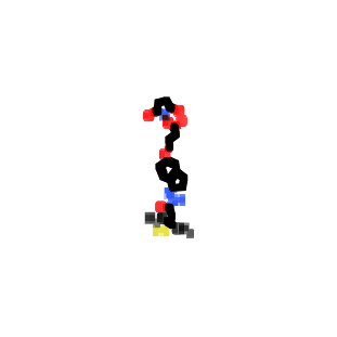 CC(C)(S)CC(=O)N/N=C1\CCc2cc(OCCCC(=O)ON3C(=O)CCC3=O)ccc21